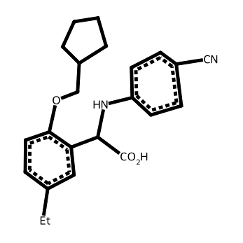 CCc1ccc(OCC2CCCC2)c(C(Nc2ccc(C#N)cc2)C(=O)O)c1